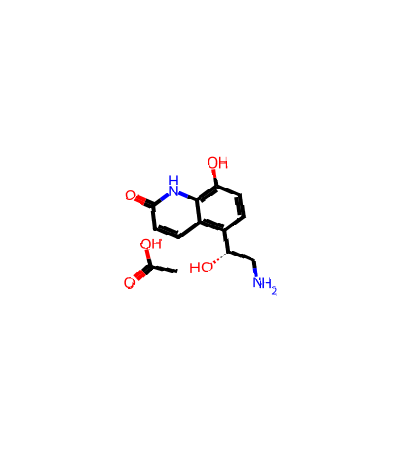 CC(=O)O.NC[C@H](O)c1ccc(O)c2[nH]c(=O)ccc12